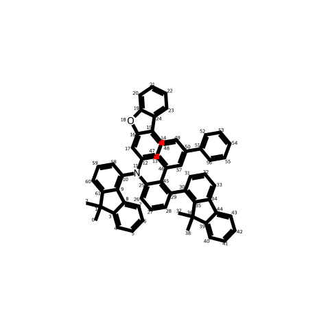 CC1(C)c2ccccc2-c2c(N(c3ccc4c(c3)oc3ccccc34)c3cccc(-c4cccc5c4C(C)(C)c4ccccc4-5)c3-c3cccc(-c4ccccc4)c3)cccc21